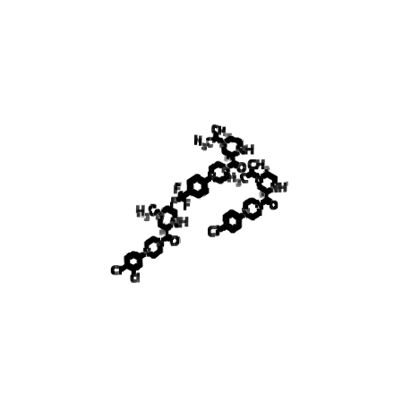 CC(C)N1CCN[C@@H](C(=O)N2CCN(c3ccc(C(F)(F)F)cc3)CC2)C1.CC(C)N1CCN[C@@H](C(=O)N2CCN(c3ccc(Cl)cc3)CC2)C1.CN1CCN[C@@H](C(=O)N2CCN(c3ccc(Cl)c(Cl)c3)CC2)C1